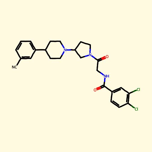 N#Cc1cccc(C2CCN(C3CCN(C(=O)CNC(=O)c4ccc(Cl)c(Cl)c4)C3)CC2)c1